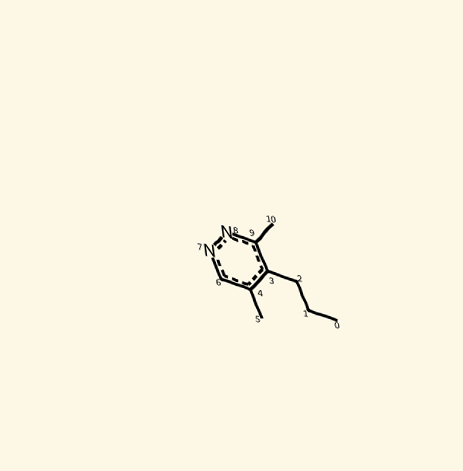 CCCc1c(C)cnnc1C